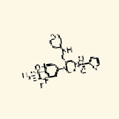 C[C@@](O)(c1ccc(N2CCN(S(=O)(=O)c3cccs3)C[C@@H]2CNC2CCOCC2)cc1)C(F)(F)F